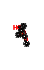 O=S(=O)(c1ccc(OCc2ccccc2)cc1)c1cc(C2CCCCC2)c(O)cc1C1CCCCC1